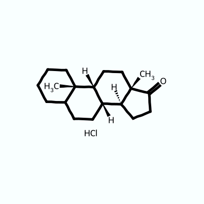 C[C@]12CCCCC1CC[C@@H]1[C@H]2CC[C@]2(C)C(=O)CC[C@@H]12.Cl